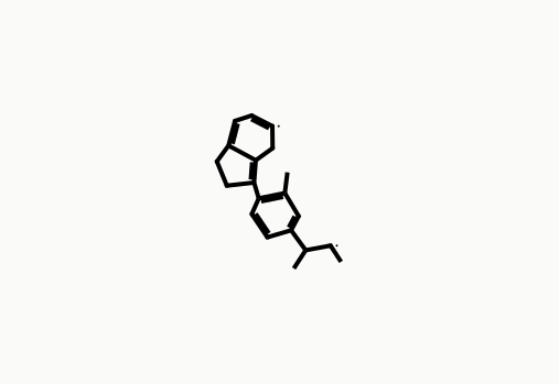 C[CH]C(C)c1ccc(C2=C3C[C]=CC=C3CC2)c(C)c1